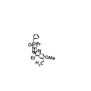 C=Cc1cc2c(CC)nc(C(CC(C)C)NC(=O)OCc3ccccc3)nc2cc1OC